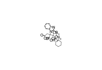 CC(C)(C)C(CC(=O)O)(C(=O)O)n1c(SCCC2CCCCC2)nc2ccccc21